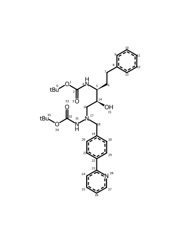 CC(C)(C)OC(=O)N[C@@H](CCc1ccccc1)[C@@H](O)CN(Cc1ccc(-c2ccccn2)cc1)NC(=O)OC(C)(C)C